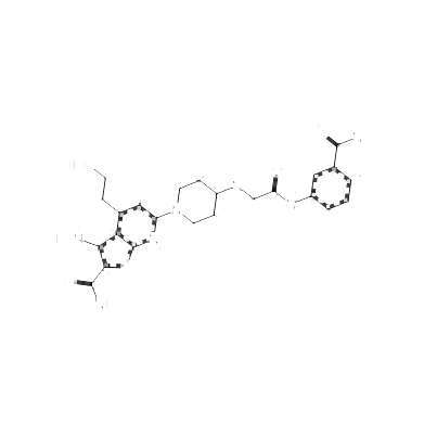 CCCc1cc(N2CCC(NCC(=O)Nc3cccc(C(N)=O)c3)CC2)nc2sc(C(N)=O)c(N)c12